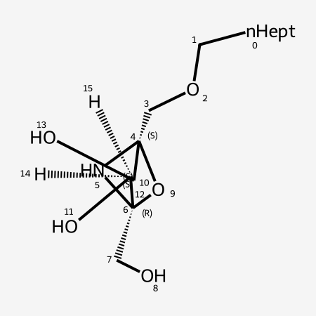 CCCCCCCCOC[C@]12N[C@](CO)(O1)[C@@H](O)[C@@H]2O